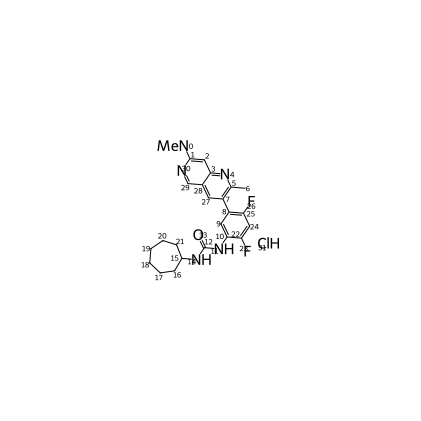 CNc1cc2nc(C)c(-c3cc(NC(=O)NC4CCCCCC4)c(F)cc3F)cc2cn1.Cl